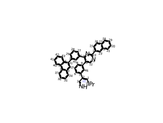 CC(C)/C=C(\C=N)c1cccc(-c2cnc(-c3ccc4ccccc4c3)nc2-c2cccc(-c3cc4ccccc4c4ccccc34)c2)c1